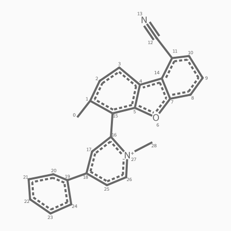 Cc1ccc2c(oc3cccc(C#N)c32)c1-c1cc(-c2ccccc2)cc[n+]1C